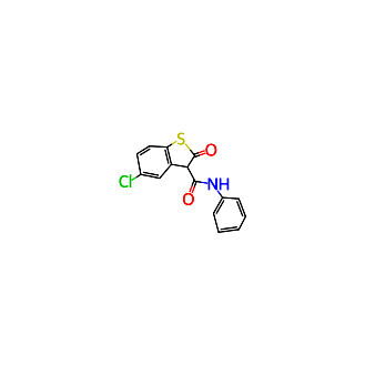 O=C(Nc1ccccc1)C1C(=O)Sc2ccc(Cl)cc21